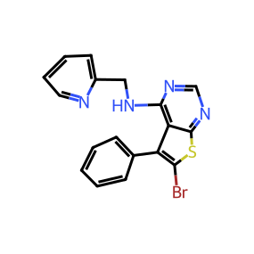 Brc1sc2ncnc(NCc3ccccn3)c2c1-c1ccccc1